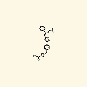 CC(C)CC/C(=C\c1nnc(-c2ccc(CN3CC(C(=O)O)C3)cc2)o1)c1ccccc1